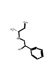 C[C@H](CO)NCC(O)c1ccccc1